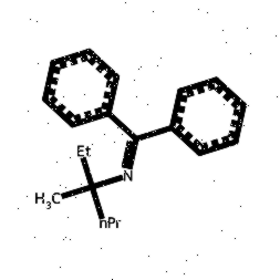 CCCC(C)(CC)N=C(c1ccccc1)c1ccccc1